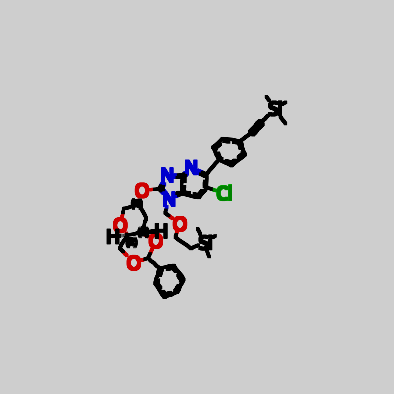 C[Si](C)(C)C#Cc1ccc(-c2nc3nc(O[C@H]4CO[C@@H]5COC(c6ccccc6)O[C@H]5C4)n(COCC[Si](C)(C)C)c3cc2Cl)cc1